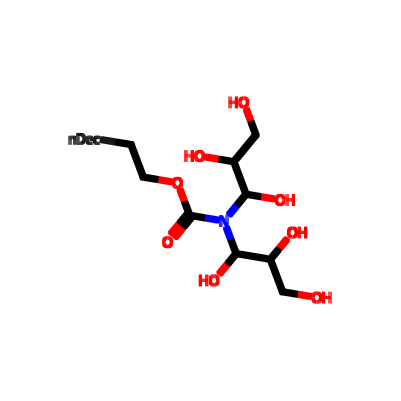 CCCCCCCCCCCCOC(=O)N(C(O)C(O)CO)C(O)C(O)CO